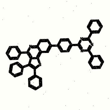 c1ccc(-c2nc(-c3ccccc3)nc(-c3ccc(-c4ccc5nc(-c6ccccc6)c6c(-c7ccccc7)c(-c7ccccc7)sc6c5c4)cc3)n2)cc1